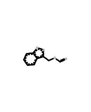 O=COCc1noc2ccccc12